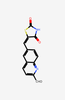 O=Cc1ccc2cc(/C=C3/SC(=O)NC3=O)ccc2n1